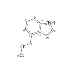 CCOCc1cccc2[nH]ccc12